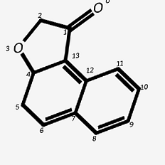 O=C1COC2CC=c3ccccc3=C12